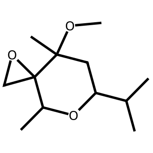 COC1(C)CC(C(C)C)OC(C)C12CO2